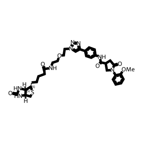 COc1ccccc1N1CC(C(=O)Nc2ccc(-c3cn(CCOCCNC(=O)CCCC[C@@H]4SC[C@@H]5NC(=O)N[C@@H]54)nn3)cc2)CC1=O